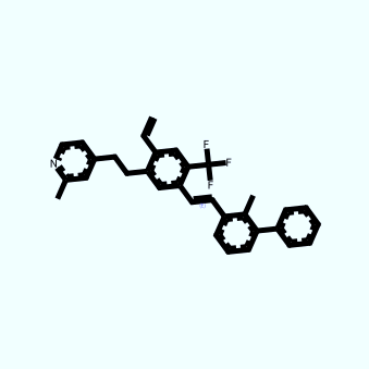 C=Cc1cc(C(F)(F)F)c(/C=C/c2cccc(-c3ccccc3)c2C)cc1CCc1ccnc(C)c1